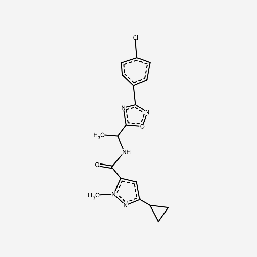 CC(NC(=O)c1cc(C2CC2)nn1C)c1nc(-c2ccc(Cl)cc2)no1